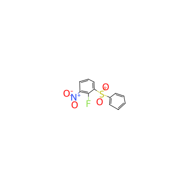 O=[N+]([O-])c1cccc(S(=O)(=O)c2ccccc2)c1F